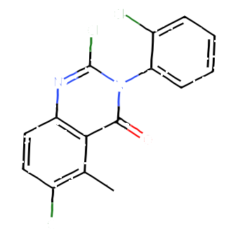 Cc1c(Cl)ccc2nc(Cl)n(-c3ccccc3Cl)c(=O)c12